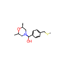 CSCc1ccc(C(O)N2CC(C)OC(C)C2)cc1